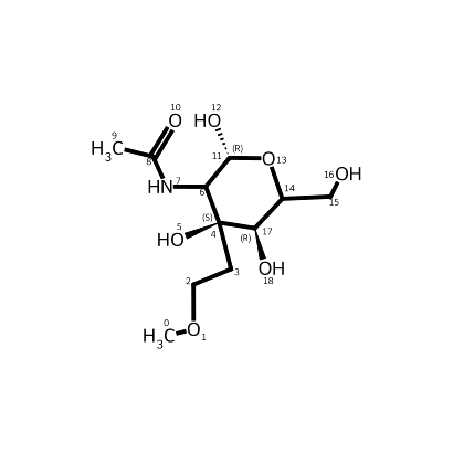 COCC[C@]1(O)C(NC(C)=O)[C@H](O)OC(CO)[C@H]1O